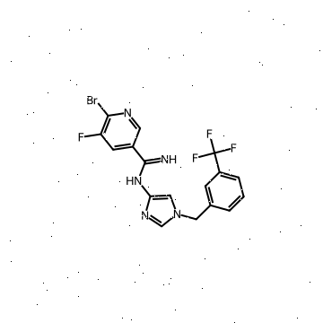 N=C(Nc1cn(Cc2cccc(C(F)(F)F)c2)cn1)c1cnc(Br)c(F)c1